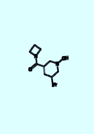 CC(C)C1CC(C(=O)N2CCC2)CN(O)C1